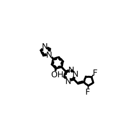 Oc1cc(-n2ccnc2)ccc1-c1cnc(/C=C2\C[C@@H](F)C[C@H]2F)nn1